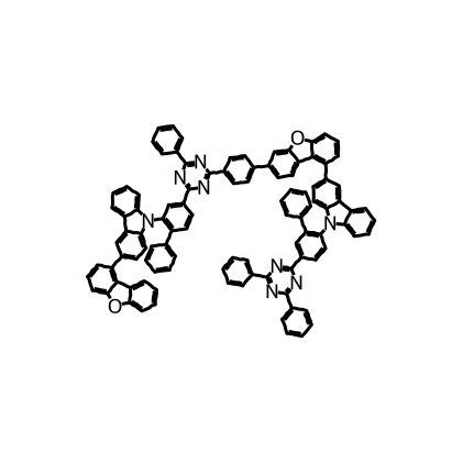 c1ccc(-c2nc(-c3ccccc3)nc(-c3ccc(-n4c5ccccc5c5cc(-c6cccc7oc8cc(-c9ccc(-c%10nc(-c%11ccccc%11)nc(-c%11ccc(-c%12ccccc%12)c(-n%12c%13ccccc%13c%13cc(-c%14cccc%15oc%16ccccc%16c%14%15)ccc%13%12)c%11)n%10)cc9)ccc8c67)ccc54)c(-c4ccccc4)c3)n2)cc1